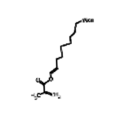 C=C(C)C(=O)O/C=C/CCCCCCCCCCCCCCCC